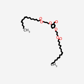 CCCCCC=CC/C=C\CCCCCCCC(=O)OCCCCOc1ccc(OCCCCOC(=O)CCCCCCC/C=C\C/C=C\CCCCC)c(C=O)c1